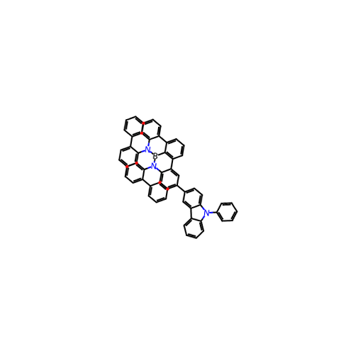 c1ccc(-c2ccccc2N2B3c4c(cccc4-c4cc(-c5ccc6c(c5)c5ccccc5n6-c5ccccc5)ccc4N3c3ccccc3-c3ccccc3)-c3ccccc32)cc1